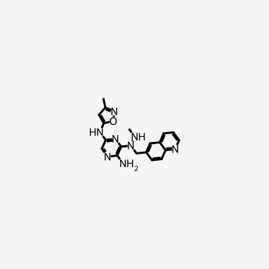 CNN(Cc1ccc2ncccc2c1)c1nc(Nc2cc(C)no2)cnc1N